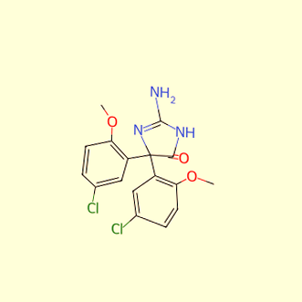 COc1ccc(Cl)cc1C1(c2cc(Cl)ccc2OC)N=C(N)NC1=O